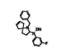 O[C@H](c1cccc(F)c1)C1CCC2(CC=CC2)N1Cc1ccccc1